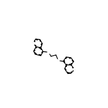 c1cc(OCCOc2cccc3ncccc23)c2cccnc2c1